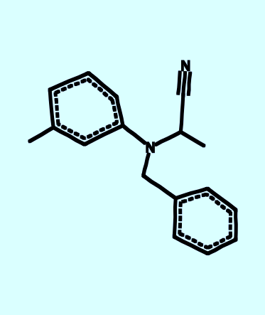 Cc1cccc(N(Cc2ccccc2)C(C)C#N)c1